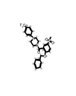 CS(=O)(=O)c1ccc(OCc2ccccc2)c(C(=O)N2CCN(c3ccc(C(F)(F)F)cc3)CC2)c1